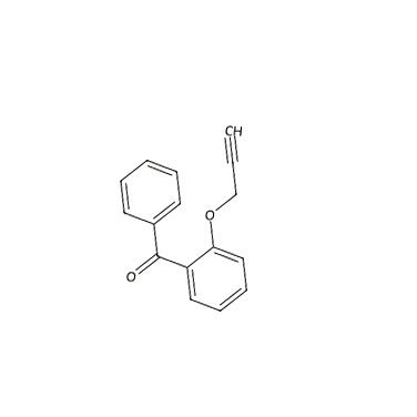 C#CCOc1ccccc1C(=O)c1ccccc1